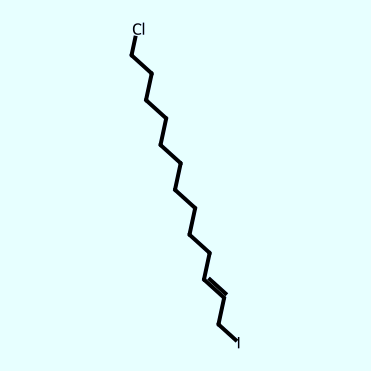 ClCCCCCCCCCCC=CCI